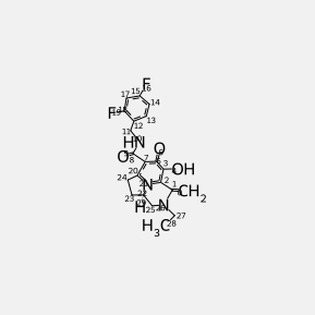 C=C1c2c(O)c(=O)c(C(=O)NCc3ccc(F)cc3F)c3n2[C@H](CC3)CN1CC